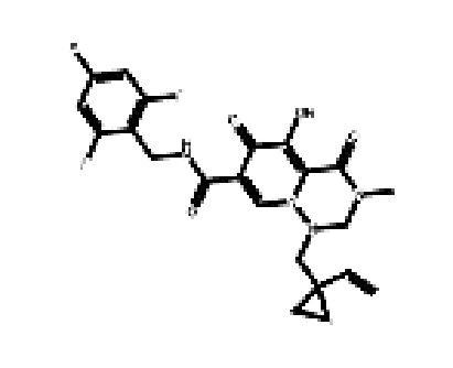 C=CC1(CN2CN(C)C(=O)c3c(O)c(=O)c(C(=O)NCc4c(F)cc(F)cc4F)cn32)CC1